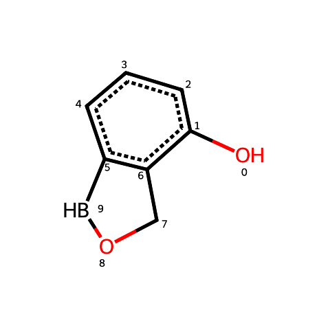 Oc1cccc2c1COB2